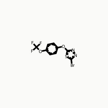 FC(F)(F)Oc1ccc(Oc2nnc(Br)s2)cc1